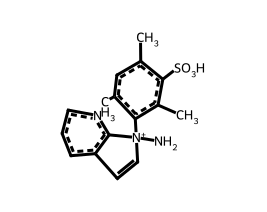 Cc1cc(C)c(S(=O)(=O)O)c(C)c1[N+]1(N)C=Cc2cccnc21